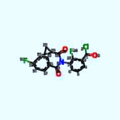 O=C(Cl)c1cccc(N(C(=O)c2ccc(F)cc2)C(=O)C2CC2)c1F